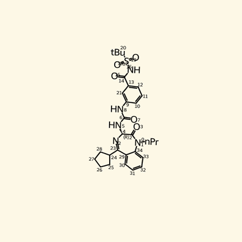 CCCN1C(=O)[C@H](NC(=O)Nc2cccc(C(=O)NS(=O)(=O)C(C)(C)C)c2)N=C(C2CCCC2)c2ccccc21